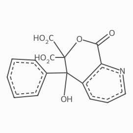 O=C1OC(C(=O)O)(C(=O)O)C(O)(c2ccccc2)c2cccnc21